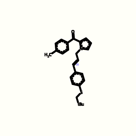 Cc1ccc(C(=O)c2cccn2C/C=C/c2ccc(SCC(C)(C)C)cc2)cc1